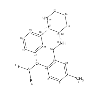 Cc1ccc(OC(F)F)c(CN[C@H]2CCCN[C@H]2c2ccccc2)c1